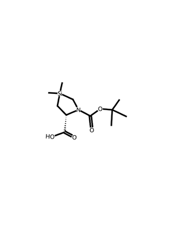 CC(C)(C)OC(=O)N1C[Si](C)(C)C[C@H]1C(=O)O